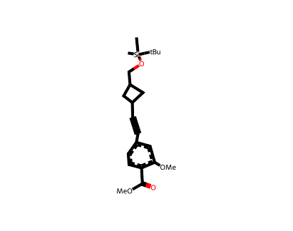 COC(=O)c1ccc(C#CC2CC(CO[Si](C)(C)C(C)(C)C)C2)cc1OC